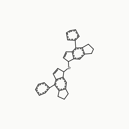 C1=C[CH]([Zr][CH]2C=Cc3c2cc2c(c3-c3ccccc3)CCC2)c2cc3c(c(-c4ccccc4)c21)CCC3